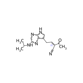 CC(=O)/C(C#N)=C/Cc1c[nH]c2ncc(NC(C)C)nc12